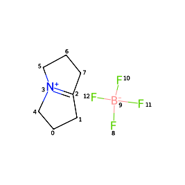 C1CC2=[N+](C1)CCC2.F[B-](F)(F)F